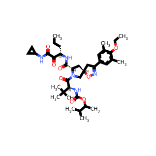 CCC[C@H](NC(=O)[C@@H]1C[C@]2(CC(c3cc(C)c(OCC)c(C)c3)=NO2)CN1C(=O)[C@@H](NC(=O)OC(C)C(C)C)C(C)(C)C)C(=O)C(=O)NC1CC1